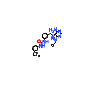 Nc1ncnc2c1c(Cc1cccc(NC(=O)Nc3cccc(C(F)(F)F)c3)c1)nn2CC1CC1